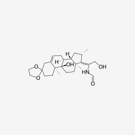 C[C@H]1C[C@H]2[C@@H]3CC=C4CC5(CC[C@]4(C)[C@@]3(O)CC[C@]2(C)/C1=C(/CO)NC=O)OCCO5